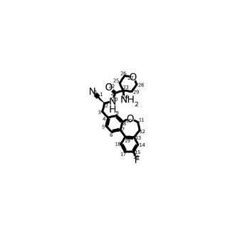 N#C[C@H](Cc1ccc2c(c1)OCCc1cc(F)ccc1-2)NC(=O)C1(N)CCOCC1